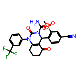 CS(=O)(=O)c1cc(C#N)ccc1C1C2=C(CCCC2=O)N(c2cccc(C(F)(F)F)c2)C(=O)N1C(N)=O